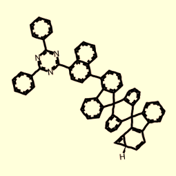 C1=C[C@@H]2C=C2C2=C1c1ccccc1C21c2ccccc2C2(c3ccccc3-c3c(-c4ccc(-c5nc(-c6ccccc6)nc(-c6ccccc6)n5)c5ccccc45)cccc32)c2ccccc21